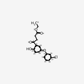 CCOC(=O)CCC(=O)c1cc(Oc2cccc(Cl)c2)ccc1O